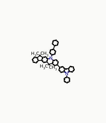 CC1(C)c2ccccc2-c2cc3c(cc21)N(c1ccc(-c2ccccc2)cc1)c1ccc(-c2ccc4c(c2)c2ccccc2n4-c2ccccc2)cc1C3(C)C